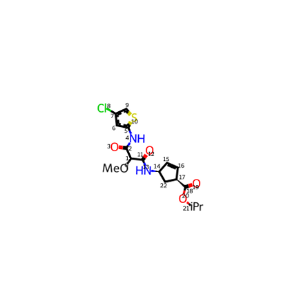 COC(C(=O)Nc1cc(Cl)cs1)C(=O)N[C@H]1C=C[C@@H](C(=O)OC(C)C)C1